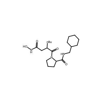 CCCCC(CC(=O)NO)C(=O)N1CCCC1C(=O)NCC1CCCCC1